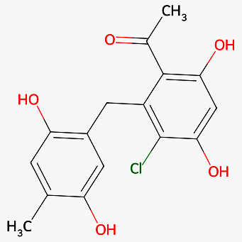 CC(=O)c1c(O)cc(O)c(Cl)c1Cc1cc(O)c(C)cc1O